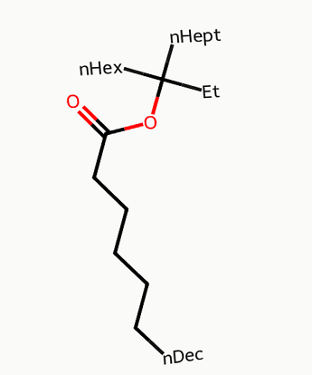 CCCCCCCCCCCCCCCC(=O)OC(CC)(CCCCCC)CCCCCCC